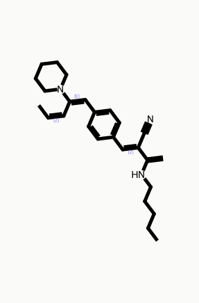 C=C(NCCCCC)/C(C#N)=C/c1ccc(/C=C(\C=C/C)N2CCCCC2)cc1